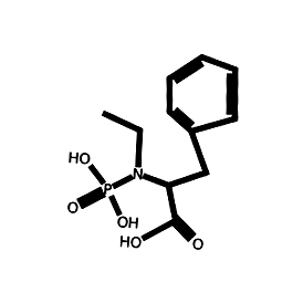 CCN(C(Cc1ccccc1)C(=O)O)P(=O)(O)O